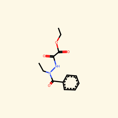 CCOC(=O)C(=O)NN(CC)C(=O)c1ccccc1